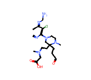 C=N/C(=C(Cl)\C(C)=N/CN)N1CCN(C)C(CCC=O)(CCN(C)CC(=O)O)C1